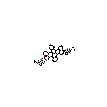 O=S(=O)(Oc1ccc(-c2c3ccccc3c(-c3ccc(OS(=O)(=O)C(F)(F)F)cc3)c3c(-c4ccccc4)c4ccccc4c(-c4ccccc4)c23)cc1)C(F)(F)F